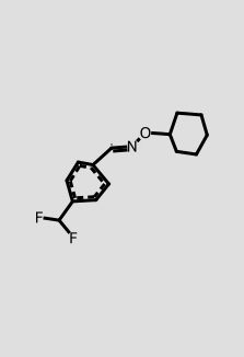 FC(F)c1ccc(/[C]=N/OC2CCCCC2)cc1